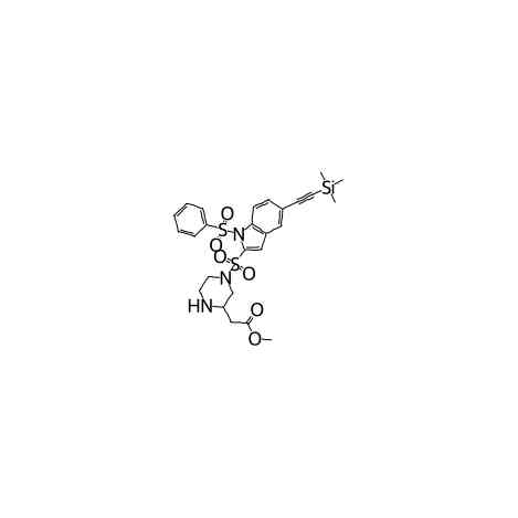 COC(=O)CC1CN(S(=O)(=O)c2cc3cc(C#C[Si](C)(C)C)ccc3n2S(=O)(=O)c2ccccc2)CCN1